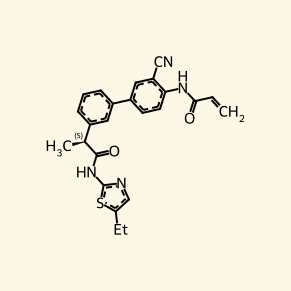 C=CC(=O)Nc1ccc(-c2cccc([C@H](C)C(=O)Nc3ncc(CC)s3)c2)cc1C#N